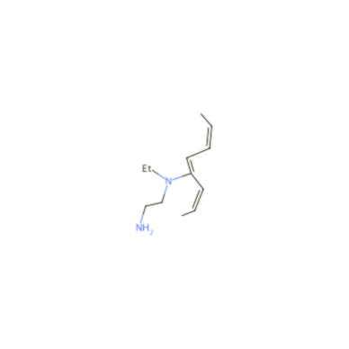 C\C=C/C=C(\C=C/C)N(CC)CCN